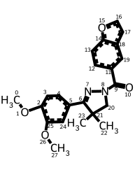 COc1ccc(C2=NN(C(=O)c3ccc4occc4c3)CC2(C)C)cc1OC